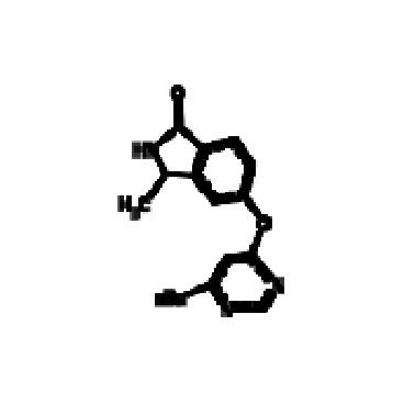 CCCCc1cc(Oc2ccc3c(c2)C(C)NC3=O)ncn1